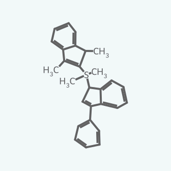 CC1=C(S(C)(C)C2C=C(c3ccccc3)c3ccccc32)C(C)c2ccccc21